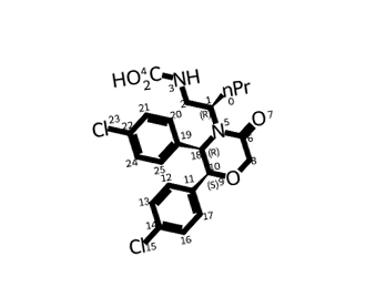 CCC[C@H](CNC(=O)O)N1C(=O)CO[C@@H](c2ccc(Cl)cc2)[C@H]1c1ccc(Cl)cc1